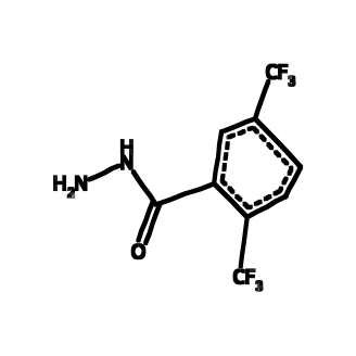 NNC(=O)c1cc(C(F)(F)F)ccc1C(F)(F)F